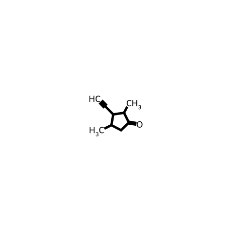 C#CC1C(C)CC(=O)C1C